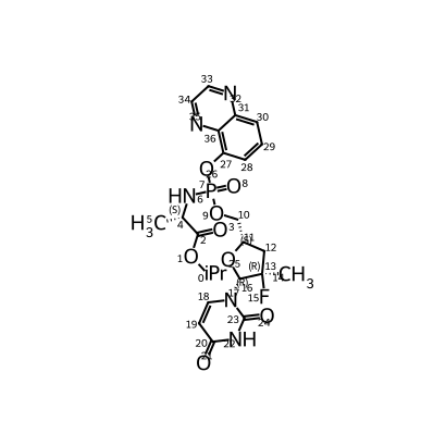 CC(C)OC(=O)[C@H](C)NP(=O)(OC[C@@H]1C[C@@](C)(F)[C@H](n2ccc(=O)[nH]c2=O)O1)Oc1cccc2nccnc12